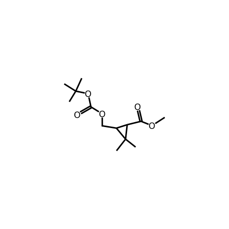 COC(=O)C1C(COC(=O)OC(C)(C)C)C1(C)C